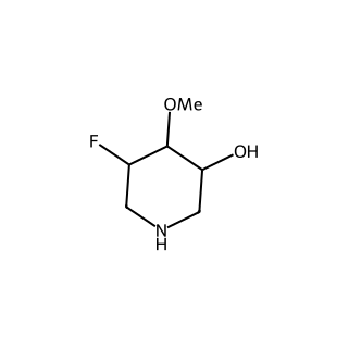 COC1C(O)CNCC1F